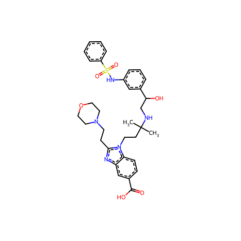 CC(C)(CCn1c(CCN2CCOCC2)nc2cc(C(=O)O)ccc21)NCC(O)c1cccc(NS(=O)(=O)c2ccccc2)c1